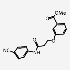 COC(=O)c1cccc(OCCC(=O)Nc2ccc(C#N)cc2)c1